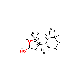 CC1(C)CCC=C2[C@H]1CC[C@@]1(C)OC(O)C[C@H]21